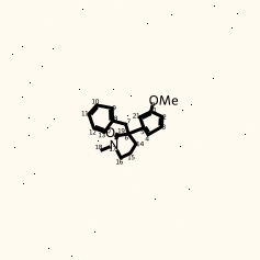 COc1cccc(C2(Cc3ccccc3)CCCN(C)C2=O)c1